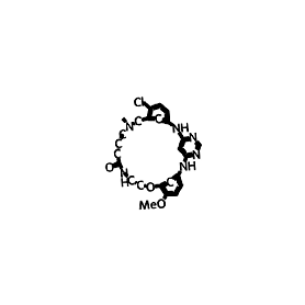 COc1ccc2cc1OCCNC(=O)CCCN(C)Cc1cc(ccc1Cl)Nc1cc(ncn1)N2